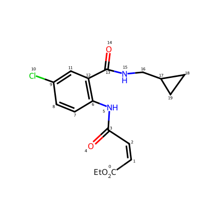 CCOC(=O)/C=C\C(=O)Nc1ccc(Cl)cc1C(=O)NCC1CC1